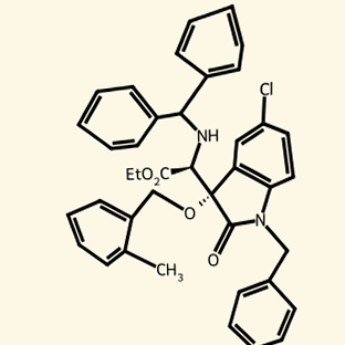 CCOC(=O)[C@@H](NC(c1ccccc1)c1ccccc1)[C@]1(OCc2ccccc2C)C(=O)N(Cc2ccccc2)c2ccc(Cl)cc21